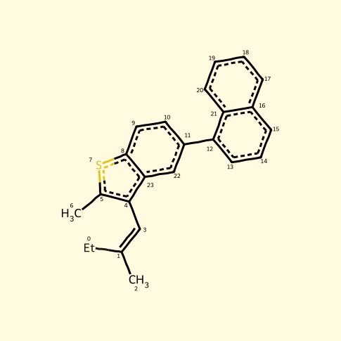 CC/C(C)=C\c1c(C)sc2ccc(-c3cccc4ccccc34)cc12